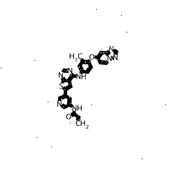 C=CC(=O)Nc1cncc(-c2cc3c(Nc4ccc(Oc5ccn6ncnc6c5)c(C)c4)ncnc3s2)c1